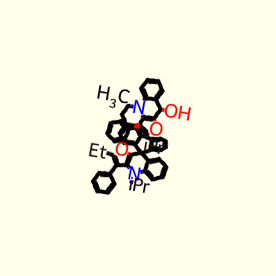 CCc1oc2c(c1-c1ccccc1)N(C(C)C)c1ccccc1C21c2ccccc2-c2cc(CC(C)N3c4ccccc4C(O)c4oc(C(C)C)c(-c5ccccc5)c43)ccc21